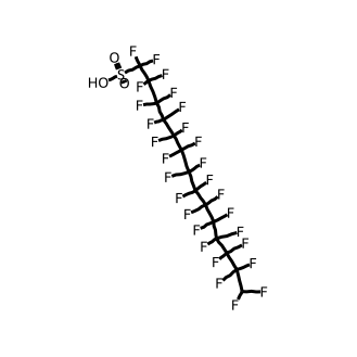 O=S(=O)(O)C(F)(F)C(F)(F)C(F)(F)C(F)(F)C(F)(F)C(F)(F)C(F)(F)C(F)(F)C(F)(F)C(F)(F)C(F)(F)C(F)(F)C(F)(F)C(F)F